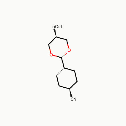 CCCCCCCC[C@H]1CO[C@H]([C@H]2CC[C@H](C#N)CC2)OC1